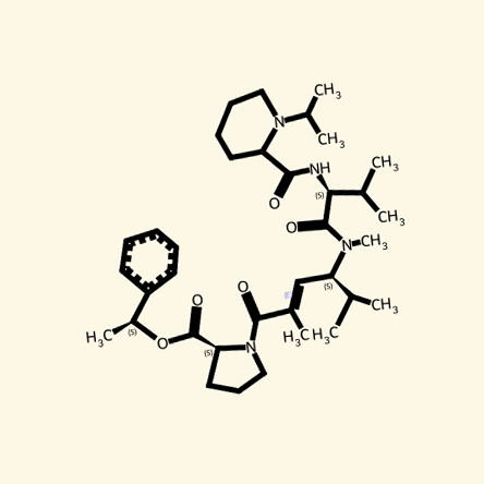 C/C(=C\[C@H](C(C)C)N(C)C(=O)[C@@H](NC(=O)C1CCCCN1C(C)C)C(C)C)C(=O)N1CCC[C@H]1C(=O)O[C@@H](C)c1ccccc1